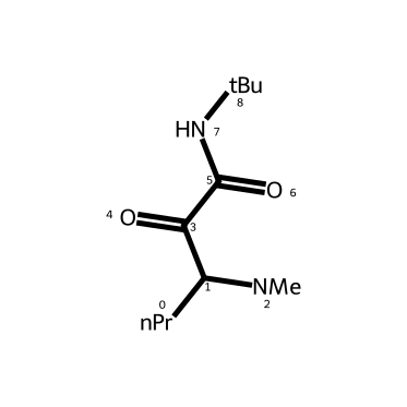 CCCC(NC)C(=O)C(=O)NC(C)(C)C